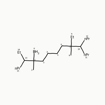 BC(C)(CCCCC(C)(CC)C(CCC)CCC)C(CC)CCC